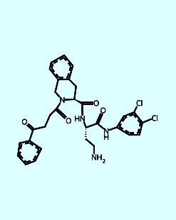 NCC[C@H](NC(=O)[C@@H]1Cc2ccccc2CN1C(=O)CCC(=O)c1ccccc1)C(=O)Nc1ccc(Cl)c(Cl)c1